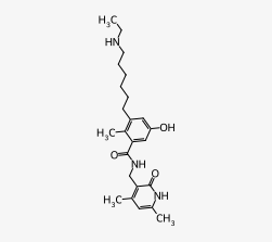 CCNCCCCCCc1cc(O)cc(C(=O)NCc2c(C)cc(C)[nH]c2=O)c1C